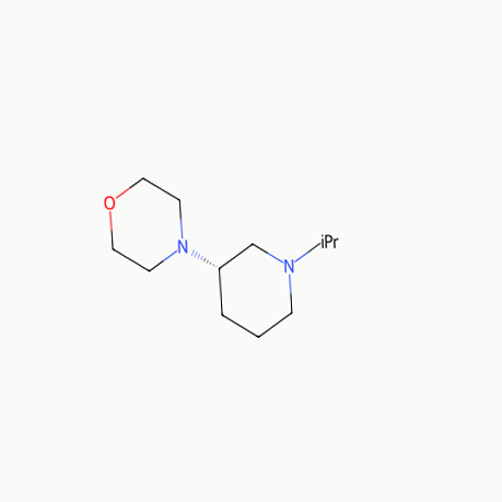 CC(C)N1CCC[C@H](N2CCOCC2)C1